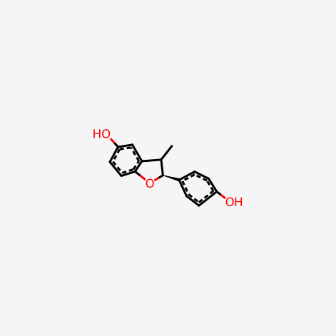 CC1c2cc(O)ccc2O[C@@H]1c1ccc(O)cc1